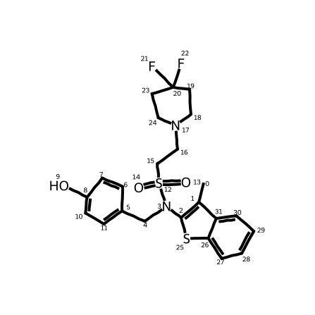 Cc1c(N(Cc2ccc(O)cc2)S(=O)(=O)CCN2CCC(F)(F)CC2)sc2ccccc12